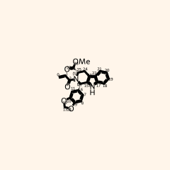 C=CC(=O)N1[C@@H](c2ccc3c(c2)OCO3)c2[nH]c3ccccc3c2C[C@H]1C(=O)OC